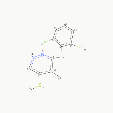 CSc1cnnc(Cc2c(F)cccc2F)c1C